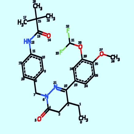 CCC1CC(=O)N(Cc2ccc(NC(=O)C(C)(C)C)cc2)N=C1c1ccc(OC)c(OC(F)F)c1